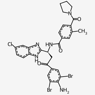 Cc1cc(C(=O)N[C@@H](CC(=O)c2cc(Br)c(N)c(Br)c2)c2nc3cc(Cl)ccc3[nH]2)ccc1C(=O)N1CCCC1